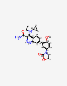 CCN(c1c(C(N)=O)nnc2cc(-c3cc(N4CCOC4=O)ccc3OC)ccc12)C1CC1